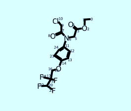 CCOC(=O)CN(C(=O)CCl)c1ccc(OCC(F)(F)C(F)F)cc1